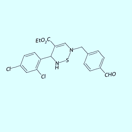 CCOC(=O)C1=CN(Cc2ccc(C=O)cc2)SNC1c1ccc(Cl)cc1Cl